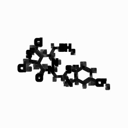 BCc1nn(Cc2nc3cc(C(F)(F)F)ccc3s2)c(=O)c2c(Cl)sc(Cl)c12